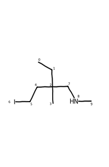 CCC(C)(CCI)CNC